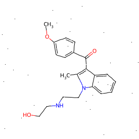 COc1ccc(C(=O)c2c(C)n(CCNCCO)c3ccccc23)cc1